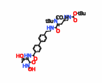 C[C@@H](O)[C@H](NC(=O)c1ccc(-c2ccc(CCNC(=O)[C@H](CCCNC(=O)OC(C)(C)C)N(C(=O)O)C(C)(C)C)cc2)cc1)C(=O)NO